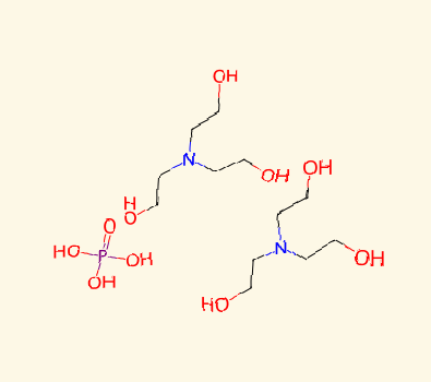 O=P(O)(O)O.OCCN(CCO)CCO.OCCN(CCO)CCO